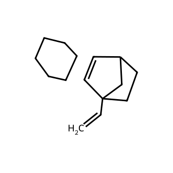 C1CCCCC1.C=CC12C=CC(CC1)C2